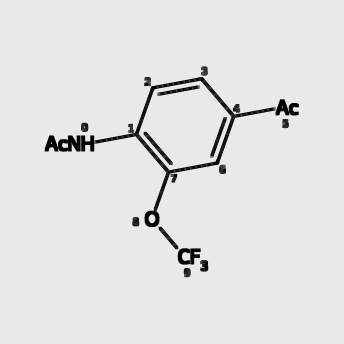 CC(=O)Nc1ccc(C(C)=O)cc1OC(F)(F)F